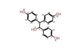 Oc1ccc(C(O)C(c2ccc(O)cc2)c2ccc(O)cc2)cc1